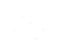 F.NC(N)=O.c1cncnc1